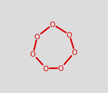 o1oooooo1